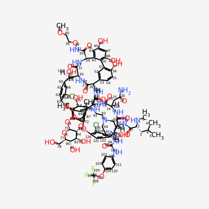 CN[C@H](CC(C)C)C(=O)N[C@H]1C(=O)N[C@@H](CC(N)=O)C(=O)N[C@H]2C(=O)N[C@H]3C(=O)N[C@H](C(=O)N[C@@H](C(=O)NOCCOC)c4cc(O)cc(O)c4-c4cc3ccc4O)[C@H](O)c3ccc(c(Cl)c3)Oc3cc2cc(c3O[C@@H]2O[C@H](CO)[C@@H](O)[C@H](O)[C@H]2O[C@H]2C[C@](C)(NCCN3CCN(NC(=O)Nc4ccc(OC(F)(F)F)cc4)CC3)[C@H](O)[C@H](C)O2)Oc2ccc(cc2Cl)[C@H]1O